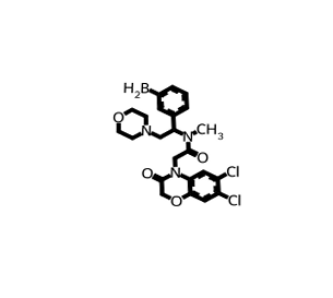 Bc1cccc(C(CN2CCOCC2)N(C)C(=O)CN2C(=O)COc3cc(Cl)c(Cl)cc32)c1